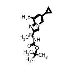 Bc1cc(C2CC2)cn2cc([C@@H](C)NC(=O)OC(C)(C)C)nc12